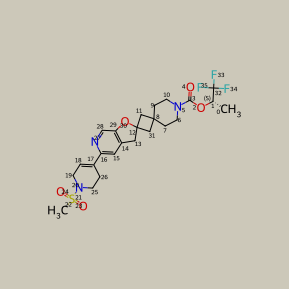 C[C@H](OC(=O)N1CCC2(CC1)CC1(Cc3cc(C4=CCN(S(C)(=O)=O)CC4)ncc3O1)C2)C(F)(F)F